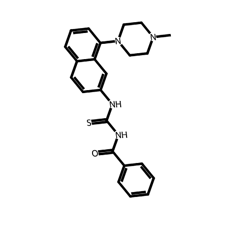 CN1CCN(c2cccc3ccc(NC(=S)NC(=O)c4ccccc4)cc23)CC1